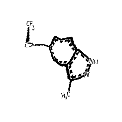 Cc1n[nH]c2ccc(OC(F)(F)F)cc12